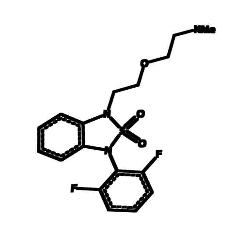 CNCCOCCN1c2ccccc2N(c2c(F)cccc2F)S1(=O)=O